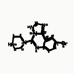 Brc1ccc2nc(N3CCNCC3)n3ncnc3c2c1